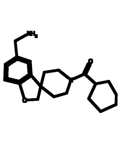 NCc1ccc2c(c1)C1(CCN(C(=O)C3CCCCC3)CC1)CO2